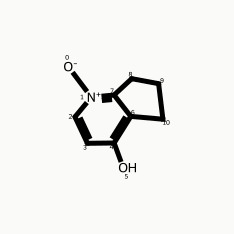 [O-][n+]1ccc(O)c2c1CCC2